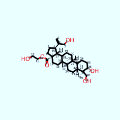 C=C(CO)[C@@H]1CC[C@]2(C(=O)OCCO)CC[C@]3(C)C(CC[C@@H]4[C@@]5(C)CC[C@H](O)[C@@](C)(CO)[C@@H]5CC[C@]43C)[C@@H]12